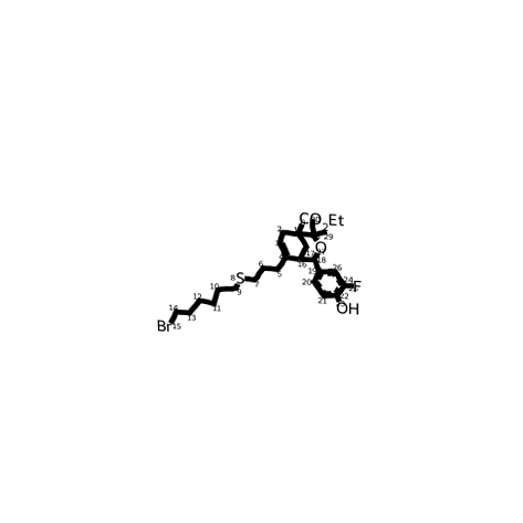 CCOC(=O)C12CC=C(CCCSCCCCCCBr)C(C1)C(c1ccc(O)c(F)c1)OC2(C)C